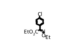 CCON=C(C(=O)OCC)c1ccc(Cl)cc1